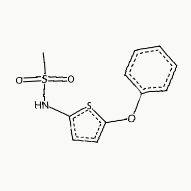 CS(=O)(=O)Nc1ccc(Oc2ccccc2)s1